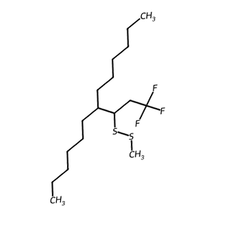 CCCCCCC(CCCCCC)C(CC(F)(F)F)SSC